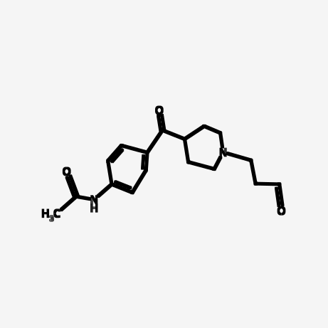 CC(=O)Nc1ccc(C(=O)C2CCN(CCC=O)CC2)cc1